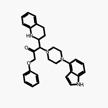 O=C(COc1ccccc1)C(C1CCc2ccccc2N1)N1CCN(c2cccc3[nH]ccc23)CC1